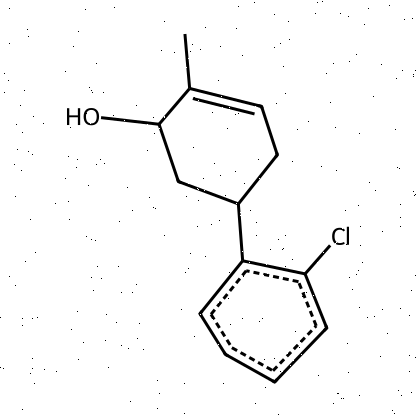 CC1=CCC(c2ccccc2Cl)CC1O